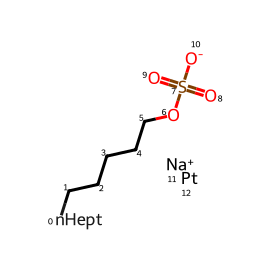 CCCCCCCCCCCCOS(=O)(=O)[O-].[Na+].[Pt]